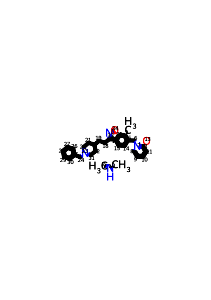 CNC.Cc1c(Cn2ccccc2=O)ccc2c(CCC3CCN(Cc4ccccc4)CC3)noc12